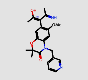 COc1cc2c(cc1/C(C(C)=N)=C(\C)O)OC(C)(C)C(=O)N2Cc1cccnc1